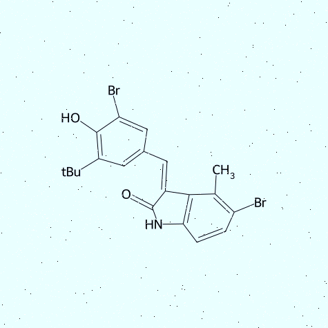 Cc1c(Br)ccc2c1C(=Cc1cc(Br)c(O)c(C(C)(C)C)c1)C(=O)N2